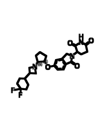 O=C1CCC(N2Cc3cc(O[C@H]4CCC[C@@H]4N4CC(C5CCC(F)(F)CC5)C4)ccc3C2=O)C(=O)N1